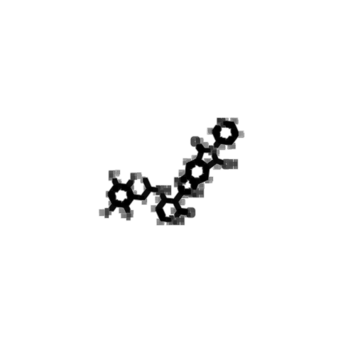 CC(Cc1c(F)c(F)cc(F)c1F)NC1C=CNC(=O)C1c1nc2cc3c(cc2[nH]1)C(O)N(c1cccnc1)C3=O